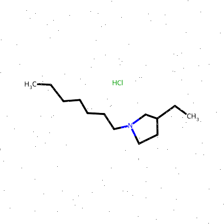 CCCCCCCN1CCC(CC)C1.Cl